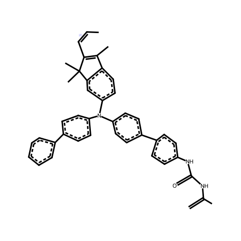 C=C(C)NC(=O)Nc1ccc(-c2ccc(N(c3ccc(-c4ccccc4)cc3)c3ccc4c(c3)C(C)(C)C(/C=C\C)=C4C)cc2)cc1